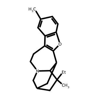 CCC1(C)CC2CC3c4oc5ccc(C)cc5c4CCN(C2)C31